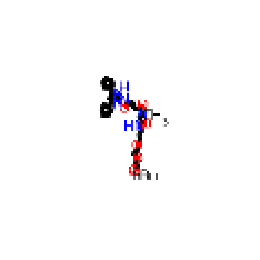 CCCCOCCOCCOCCCNC(=O)CN(C)C(=O)CCC(=O)Nc1nc(-c2ccccc2)cc(-c2ccccc2)n1